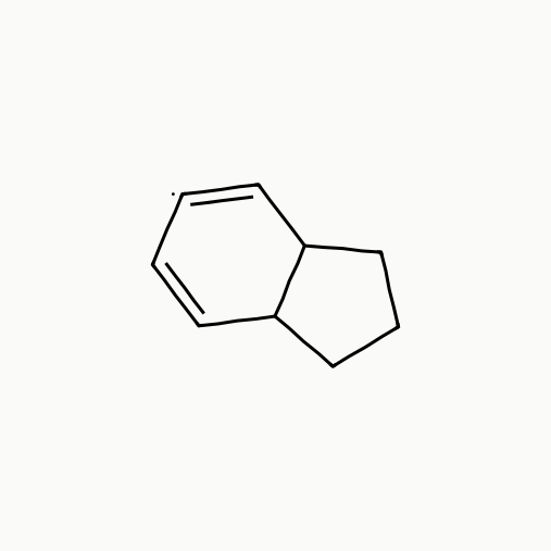 [C]1=CC2CCCC2C=C1